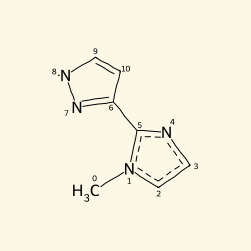 Cn1ccnc1C1=N[N]C=C1